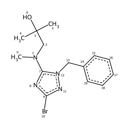 CN(CC(C)(C)O)c1nc(Br)nn1Cc1ccccc1